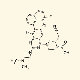 CN(C)C1CN(c2nc(N3CCN(C(=O)O)[C@@H](CC#N)C3)c3cnc(-c4cccc5ccc(F)c(Cl)c45)c(F)c3n2)C1